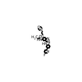 C=CC(=O)Nc1cc2c(Nc3cc(-c4ccc(F)cn4)ccc3F)ncnc2cc1OCCCN1CCOCC1